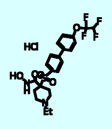 CCN1CCC(C(=O)NO)(S(=O)(=O)c2ccc(-c3ccc(OC(F)(F)C(F)F)cc3)cc2)CC1.Cl